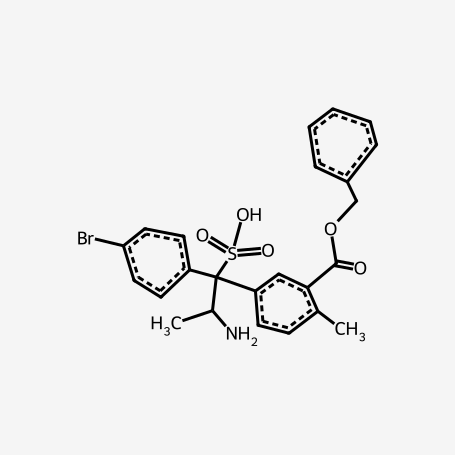 Cc1ccc(C(c2ccc(Br)cc2)(C(C)N)S(=O)(=O)O)cc1C(=O)OCc1ccccc1